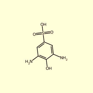 Nc1cc(S(=O)(=O)O)cc(N)c1O